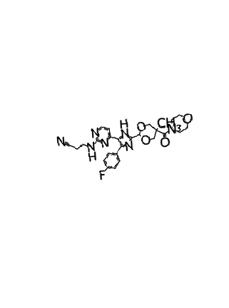 CC1(C(=O)N2CCOCC2)COC(c2nc(-c3ccc(F)cc3)c(-c3ccnc(NCCC#N)n3)[nH]2)OC1